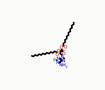 CCCCCCCCCCCCCC(=O)OC1[C@@]2(C)O[C@@H](n3cnc4c(N)nc(F)nc43)C[C@@]12OC(=O)CCCCCCCCCCCCC